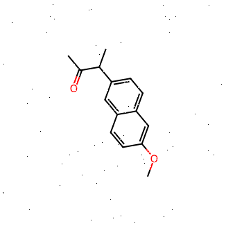 COc1ccc2cc(C(C)C(C)=O)ccc2c1